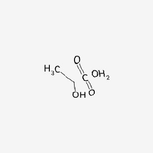 CCO.O.O=C=O